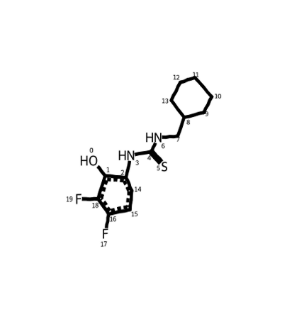 Oc1c(NC(=S)NCC2CCCCC2)ccc(F)c1F